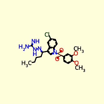 CCCCC(=NNC(=N)N)c1cn(S(=O)(=O)c2ccc(OC)c(OC)c2)c2ccc(Cl)cc12